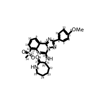 COc1ccc(-c2nc3c4cccc(S(C)(=O)=O)c4nc(N[C@@H]4CCCCNC4=O)n3n2)cc1